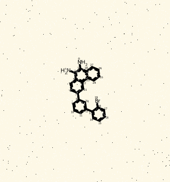 Nc1c(N)c2ccc(-c3cccc(-c4ccccc4Br)c3)cc2c2ccccc12